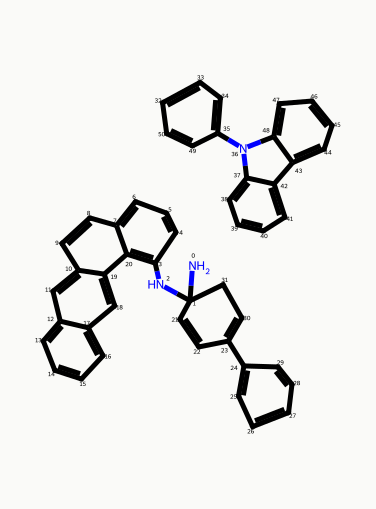 NC1(Nc2cccc3ccc4cc5ccccc5cc4c23)C=CC(c2ccccc2)=CC1.c1ccc(-n2c3ccccc3c3ccccc32)cc1